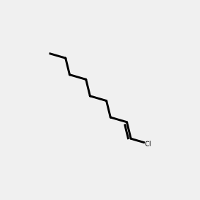 CCCCCCCC=CCl